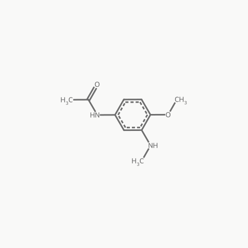 CNc1cc(NC(C)=O)ccc1OC